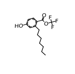 CCCCCCCc1cc(O)ccc1C(=O)OC(F)(F)F